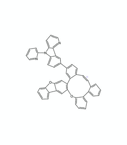 C1=C\c2ccc(-c3ccc4c(c3)c3ncccc3n4-c3ccccn3)cc2-c2cc3oc4ccccc4c3cc2Oc2ccccc2-c2ccccc2/1